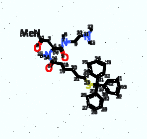 CNC(=O)C[C@@H](C(=O)N(C)CCN(C)C)N(C)C(=O)CCCCCSC(c1ccccc1)(c1ccccc1)c1ccccc1